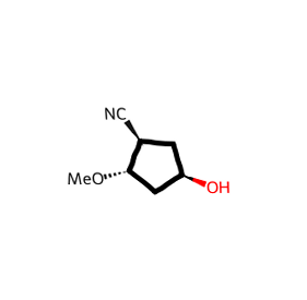 CO[C@H]1C[C@H](O)C[C@@H]1C#N